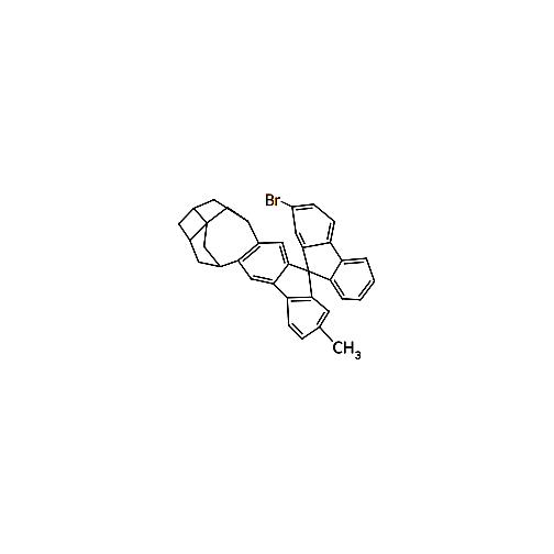 Cc1ccc2c(c1)C1(c3ccccc3-c3ccc(Br)cc31)c1cc3c(cc1-2)C1CC2CC4CC3CC24C1